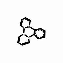 C1=CB2c3ccccc3N3C=CC=CB3N2C=C1